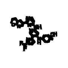 CC1(O)CCC(Nc2cc(Nc3ccnc(-c4cnc5c(c4)CCCO5)n3)ncc2-c2ccn(C(F)F)n2)CC1